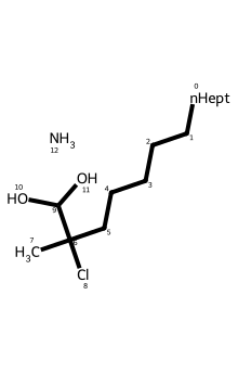 CCCCCCCCCCCCC(C)(Cl)C(O)O.N